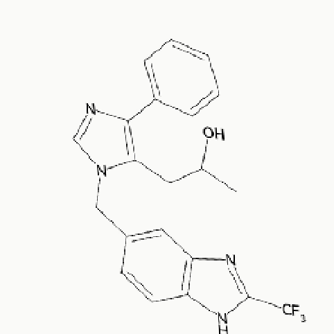 CC(O)Cc1c(-c2ccccc2)ncn1Cc1ccc2[nH]c(C(F)(F)F)nc2c1